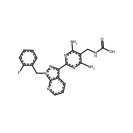 Nc1nc(-c2nn(Cc3ccccc3F)c3ncccc23)nc(N)c1CNC(=O)O